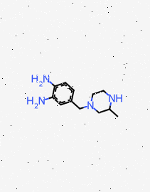 CC1CN(Cc2ccc(N)c(N)c2)CCN1